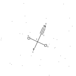 N#CC(F)(Cl)Cl